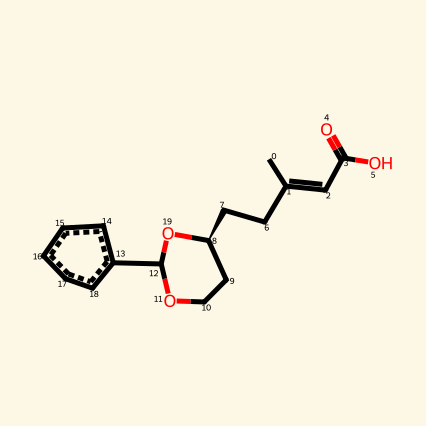 C/C(=C\C(=O)O)CC[C@H]1CCOC(c2ccccc2)O1